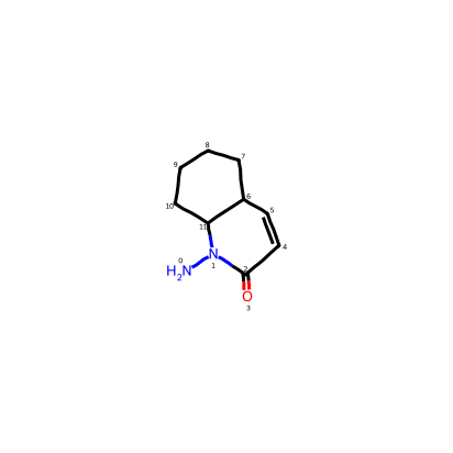 NN1C(=O)C=CC2CCCCC21